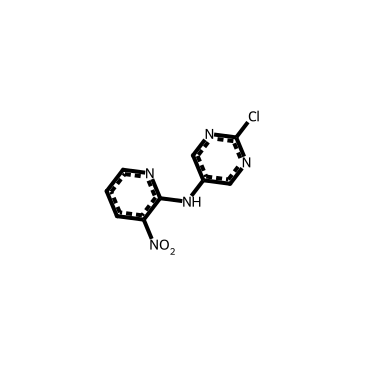 O=[N+]([O-])c1cccnc1Nc1cnc(Cl)nc1